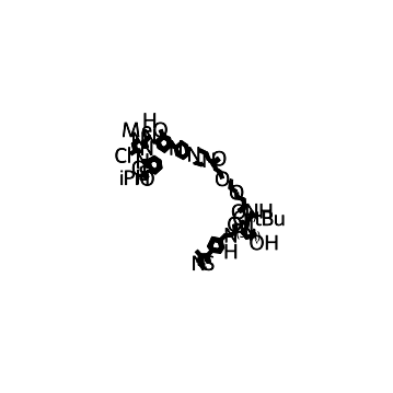 COc1cc(N2CCC(N3CCN(C(=O)CCOCCOCCC(=O)N[C@H](C(=O)N4C[C@H](O)C[C@H]4C(=O)NCc4ccc(-c5scnc5C)cc4)C(C)(C)C)CC3)CC2)ccc1Nc1ncc(Cl)c(Nc2ccccc2S(=O)(=O)C(C)C)n1